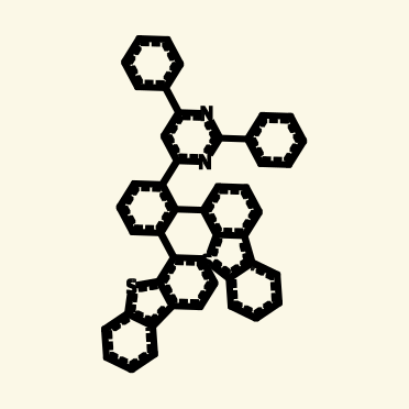 c1ccc(-c2cc(-c3cccc(-c4cccc5c4sc4ccccc45)c3-c3cccc4c3sc3ccccc34)nc(-c3ccccc3)n2)cc1